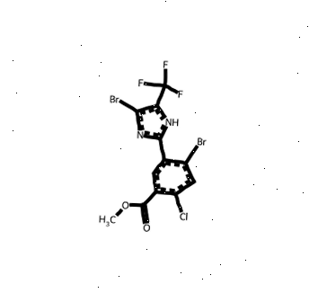 COC(=O)c1cc(-c2nc(Br)c(C(F)(F)F)[nH]2)c(Br)cc1Cl